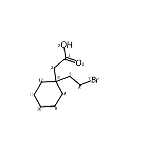 O=C(O)CC1(CCBr)CCCCC1